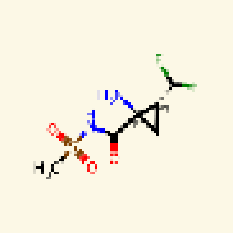 CS(=O)(=O)NC(=O)[C@@]1(N)C[C@H]1C(F)F